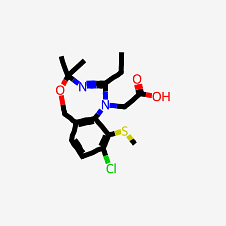 CC/C1=N\C(C)(C)OCc2ccc(Cl)c(SC)c2N1CC(=O)O